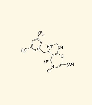 CSC1=CN(Cl)C(=O)C2=C(NCNC2Cc2cc(C(F)(F)F)cc(C(F)(F)F)c2)O1